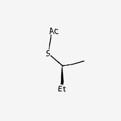 CC[C@H](C)SC(C)=O